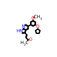 COc1cc(OC2CCCC2)cc(-c2cnc3[nH]cc(/C=C/C(C)=O)c3c2)c1